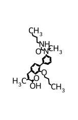 CCCCNC(=O)N(C)c1cccc(-c2ccc(/C=C(/C)C(=O)O)cc2OCCCC)c1